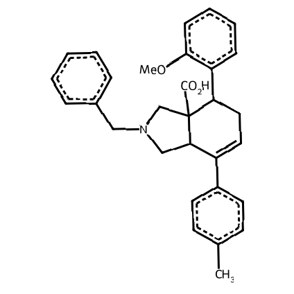 COc1ccccc1C1CC=C(c2ccc(C)cc2)C2CN(Cc3ccccc3)CC21C(=O)O